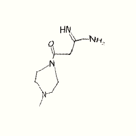 CN1CCN(C(=O)CC(=N)N)CC1